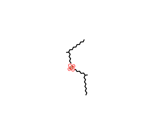 CCCCCCCCCC(C)CCCCCOS(=O)(=O)OCCCCCC(C)CCCCCCCCC